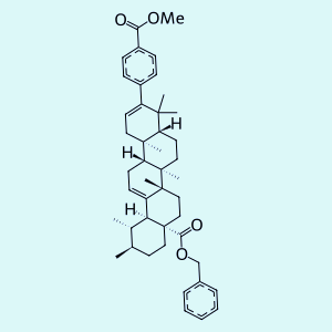 COC(=O)c1ccc(C2=CC[C@]3(C)[C@H]4CC=C5[C@@H]6[C@@H](C)[C@H](C)CC[C@]6(C(=O)OCc6ccccc6)CC[C@@]5(C)[C@]4(C)CC[C@H]3C2(C)C)cc1